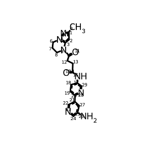 Cc1cc2n(n1)CCCN2C(=O)CCC(=O)Nc1ccc(-c2cncc(N)c2)nc1